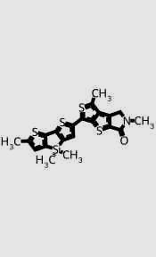 Cc1cc2c(s1)-c1sc(-c3sc(C)c4c5c(sc34)C(=O)N(C)C5)cc1[Si]2(C)C